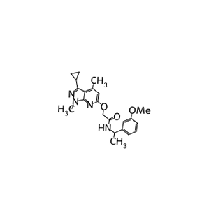 COc1cccc(C(C)NC(=O)COc2cc(C)c3c(C4CC4)nn(C)c3n2)c1